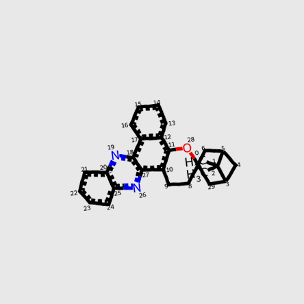 CC1(C)C2CC1CC1(CCc3c(c4ccccc4c4nc5ccccc5nc34)O1)C2